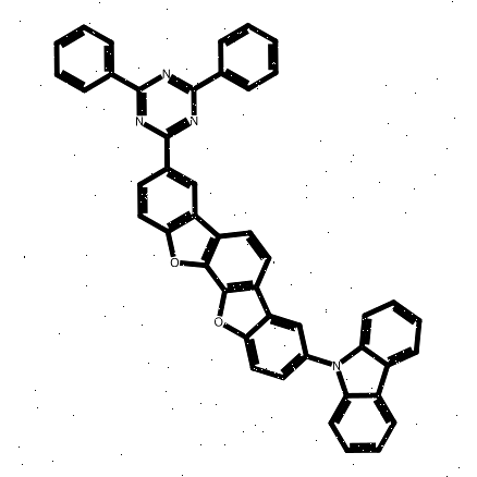 c1ccc(-c2nc(-c3ccccc3)nc(-c3ccc4oc5c(ccc6c7cc(-n8c9ccccc9c9ccccc98)ccc7oc65)c4c3)n2)cc1